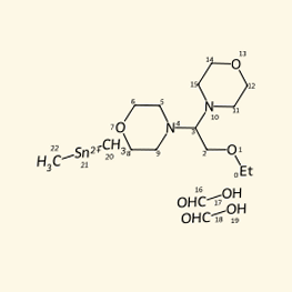 CCOCC(N1CCOCC1)N1CCOCC1.O=[C-]O.O=[C-]O.[CH3][Sn+2][CH3]